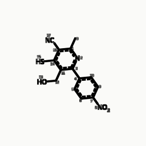 Cc1nc(-c2ccc([N+](=O)[O-])cc2)c(CO)c(S)c1C#N